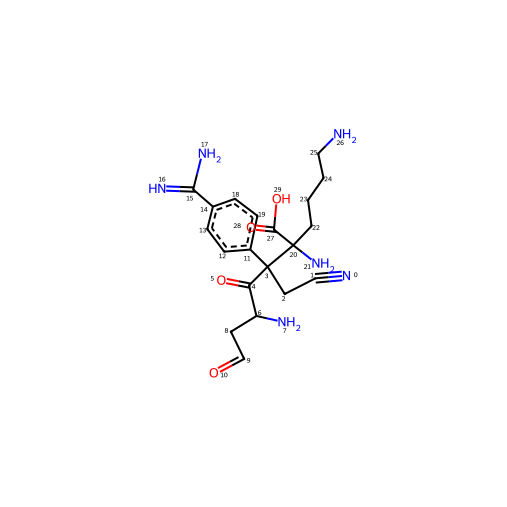 N#CCC(C(=O)C(N)CC=O)(c1ccc(C(=N)N)cc1)C(N)(CCCCN)C(=O)O